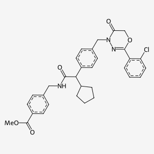 COC(=O)c1ccc(CNC(=O)C(c2ccc(CN3N=C(c4ccccc4Cl)OCC3=O)cc2)C2CCCC2)cc1